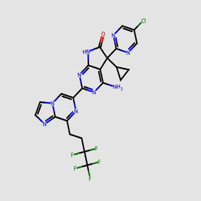 Nc1nc(-c2cn3ccnc3c(CCC(F)(F)C(F)(F)F)n2)nc2c1C(c1ncc(Cl)cn1)(C1CC1)C(=O)N2